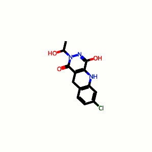 CC(O)n1nc(O)c2c(c1=O)Cc1ccc(Cl)cc1N2